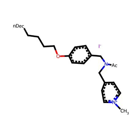 CCCCCCCCCCCCCCOc1ccc(CN(Cc2cc[n+](C)cc2)C(C)=O)cc1.[I-]